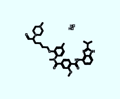 COc1cc(C(=O)N(C)c2ccc(C)cc2OCCCCC(C=O)N2CCN(C)CC2)ccc1C(=O)Nc1cccc2[nH]c(C(C)C)nc12.Cl.Cl